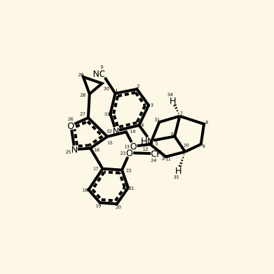 N#Cc1ccc(NC2[C@@H]3CC[C@H]2CC(OCc2c(-c4ccccc4OC(F)(F)F)noc2C2CC2)C3)nc1